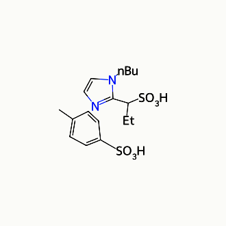 CCCCn1ccnc1C(CC)S(=O)(=O)O.Cc1ccc(S(=O)(=O)O)cc1